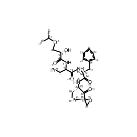 CC(C)CC(NC(=O)[C@@H](O)COC(F)F)C(=O)N[C@@H](Cc1ccccc1)C(=O)N[C@@H](CC(C)C)C(=O)[C@@]1(C)CO1